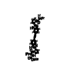 COC(=O)N[C@H](C(=O)N1CCC[C@H]1c1nc2cc(C#Cc3ccc4nc([C@@H]5CCCN5C(=O)NC(C)C)[nH]c4c3)ccc2[nH]1)C(C)C